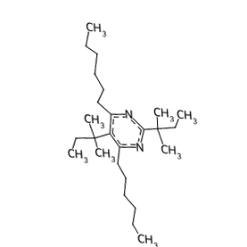 CCCCCCc1nc(C(C)(C)CC)nc(CCCCCC)c1C(C)(C)CC